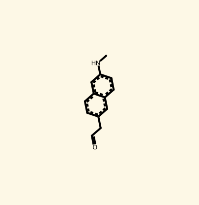 CNc1ccc2cc(CC=O)ccc2c1